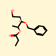 CCC(=O)OC(C)[C@@H](CCO)OCc1ccccc1